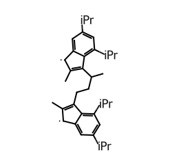 CC1=C(CCC(C)C2=C(C)[CH]c3cc(C(C)C)cc(C(C)C)c32)c2c(cc(C(C)C)cc2C(C)C)[CH]1